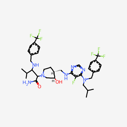 CC(C)CN(Cc1ccc(C(F)(F)F)cc1)c1ncnc(NC[C@H]2CCN(C(C(N)=O)C(NCc3ccc(C(F)(F)F)cc3)C(C)C)C[C@@H]2O)c1F